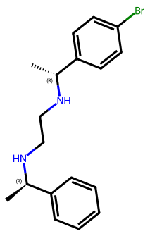 C[C@@H](NCCN[C@H](C)c1ccc(Br)cc1)c1ccccc1